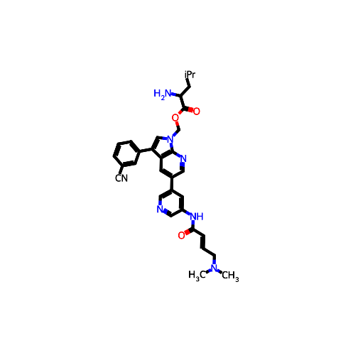 CC(C)CC(N)C(=O)OCn1cc(-c2cccc(C#N)c2)c2cc(-c3cncc(NC(=O)C=CCN(C)C)c3)cnc21